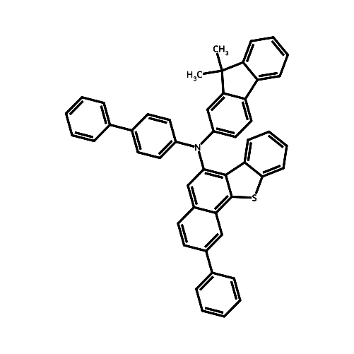 CC1(C)c2ccccc2-c2ccc(N(c3ccc(-c4ccccc4)cc3)c3cc4ccc(-c5ccccc5)cc4c4sc5ccccc5c34)cc21